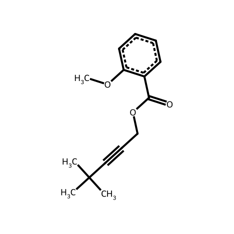 COc1ccccc1C(=O)OCC#CC(C)(C)C